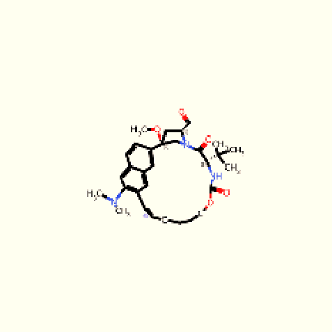 CO[C@@]12C[C@@H](C=O)N(C1)C(=O)[C@H](C(C)(C)C)NC(=O)OCCCC/C=C/c1cc3cc2ccc3cc1N(C)C